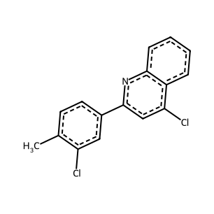 Cc1ccc(-c2cc(Cl)c3ccccc3n2)cc1Cl